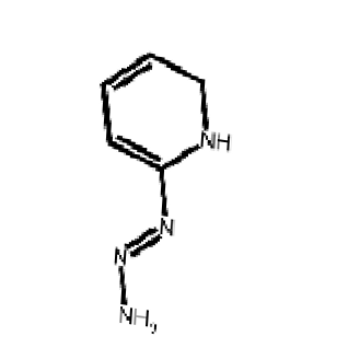 NN=NC1=CC=CCN1